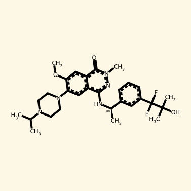 COc1cc2c(=O)n(C)nc(N[C@H](C)c3cccc(C(F)(F)C(C)(C)O)c3)c2cc1N1CCN(C(C)C)CC1